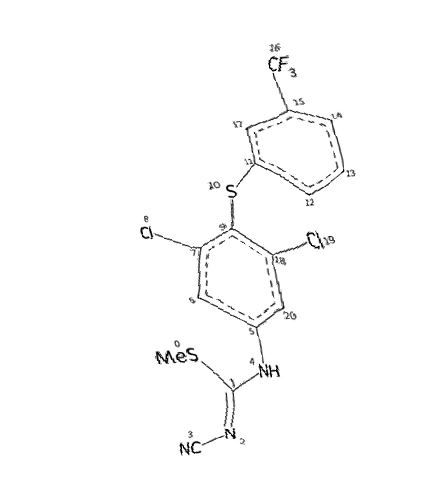 CS/C(=N\C#N)Nc1cc(Cl)c(Sc2cccc(C(F)(F)F)c2)c(Cl)c1